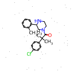 Cc1ccccc1C1CN(C(=O)C(C)(C)c2ccc(Cl)cc2)CCN1